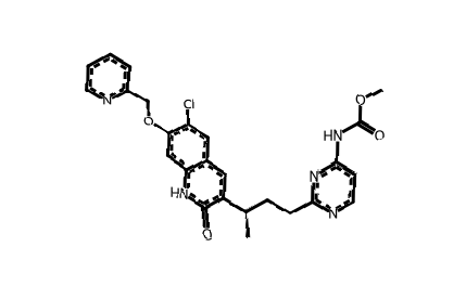 COC(=O)Nc1ccnc(CC[C@@H](C)c2cc3cc(Cl)c(OCc4ccccn4)cc3[nH]c2=O)n1